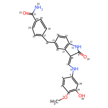 COc1ccc(NC=C2C(=O)Nc3ccc(Cc4ccc(C(N)=O)cc4)cc32)cc1O